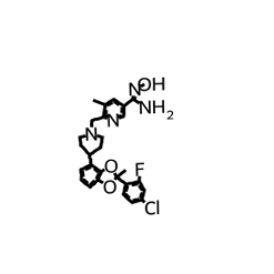 Cc1cc(C(N)=NO)cnc1CN1CCC(c2cccc3c2OC(C)(c2ccc(Cl)cc2F)O3)CC1